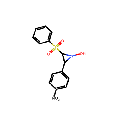 O=[N+]([O-])c1ccc(C2C(S(=O)(=O)c3ccccc3)N2O)cc1